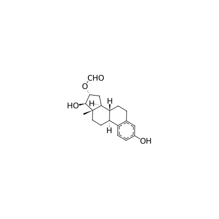 C[C@]12CC[C@@H]3c4ccc(O)cc4CC[C@H]3[C@@H]1C[C@@H](OC=O)[C@@H]2O